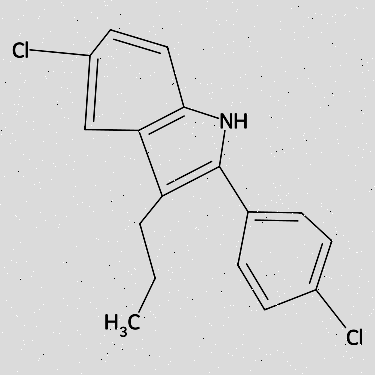 CCCc1c(-c2ccc(Cl)cc2)[nH]c2ccc(Cl)cc12